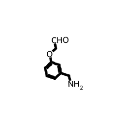 NCc1cccc(OCC=O)c1